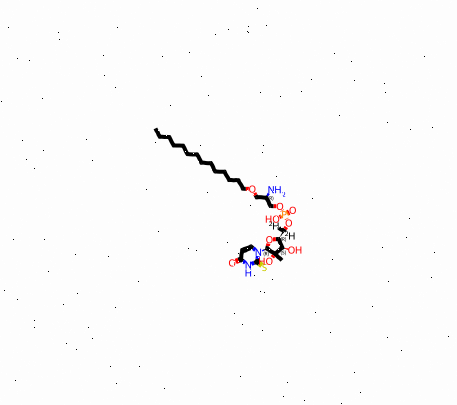 [2H]C([2H])(OP(=O)(O)OC[C@H](N)COCCCCCCCCCCCCCC)[C@H]1O[C@@H](n2ccc(=O)[nH]c2=S)C(C)(O)[C@H]1O